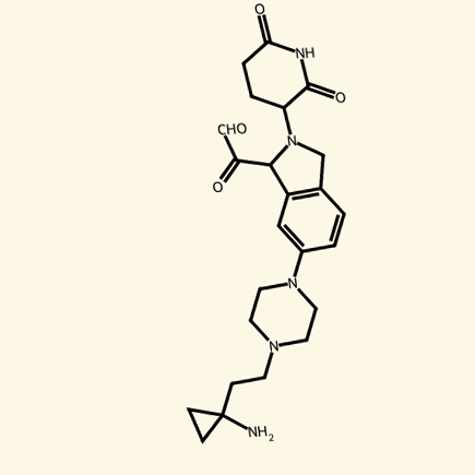 NC1(CCN2CCN(c3ccc4c(c3)C(C(=O)C=O)N(C3CCC(=O)NC3=O)C4)CC2)CC1